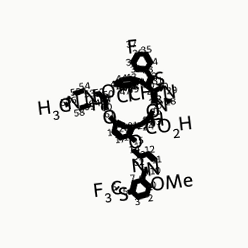 COc1ccc(SC(F)(F)F)cc1-c1nccc(COc2ccc3cc2C[C@H](C(=O)O)Oc2ncnc4sc(-c5ccc(F)cc5)c(c24)-c2ccc(c(Cl)c2C)O[C@H](CN2CCN(C)CC2)CO3)n1